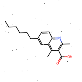 CCCCCCc1ccc2nc(C)c(C(=O)O)c(C)c2c1